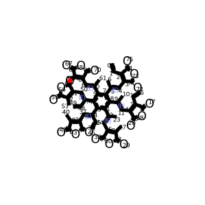 C=CC1=C(/C=C(\C)c2c(/C(C)=C/C3=C(C=C)C(=O)OC3=O)c(/C(C)=C/C3=C(C)C(=O)OC3=O)c(/C(C=C)=C/C3=C(C)C(=O)OC3=O)c(/C(C=C)=C/C3=C(C)C(=O)OC3=O)c2/C(C)=C/C2=C(C)C(=O)OC2=O)C(=O)OC1=O